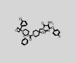 Nc1c(Oc2ccc(F)cc2)ncn(CC2(O)CCN(C(=O)[C@@H]3CCN(C4(c5cccc(Cl)c5)COC4)C[C@H]3c3ccccc3)CC2)c1=O